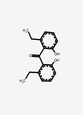 CCc1cccc(O)c1C(=O)c1c(O)cccc1CC